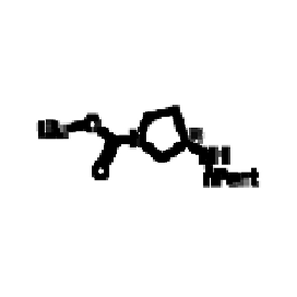 CCCCCN[C@@H]1CCN(C(=O)OC(C)(C)C)C1